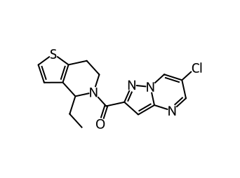 CCC1c2ccsc2CCN1C(=O)c1cc2ncc(Cl)cn2n1